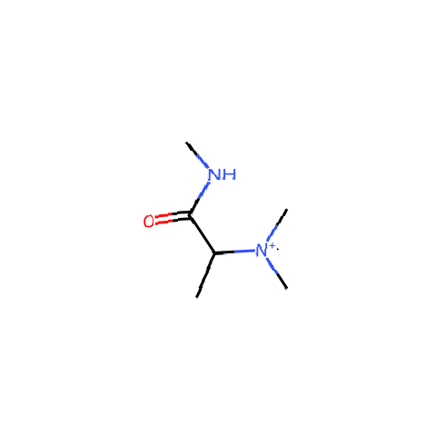 CNC(=O)C(C)[N+](C)C